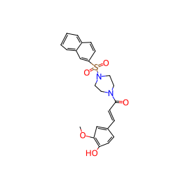 COc1cc(/C=C/C(=O)N2CCN(S(=O)(=O)c3ccc4ccccc4c3)CC2)ccc1O